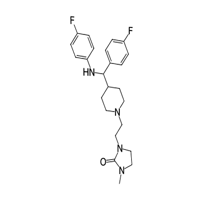 CN1CCN(CCN2CCC(C(Nc3ccc(F)cc3)c3ccc(F)cc3)CC2)C1=O